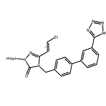 CC/C=C/c1nn(CCCCCCC)c(=O)n1Cc1ccc(-c2cccc(-c3nnn[nH]3)c2)cc1